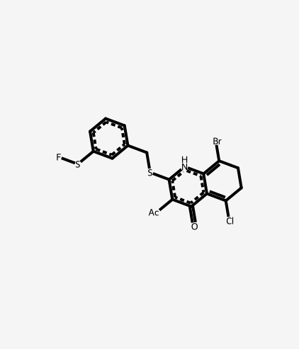 CC(=O)c1c(SCc2cccc(SF)c2)[nH]c2c(c1=O)=C(Cl)CCC=2Br